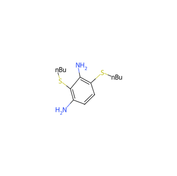 CCCCSc1ccc(N)c(SCCCC)c1N